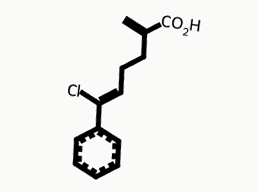 C=C(CCC=C(Cl)c1ccccc1)C(=O)O